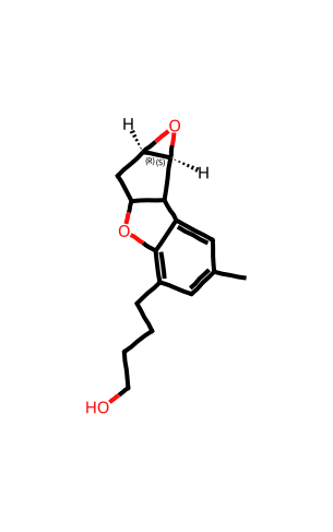 Cc1cc(CCCCO)c2c(c1)C1C(C[C@H]3O[C@@H]13)O2